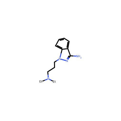 CCN(CC)CCCn1nc(N)c2ccccc21